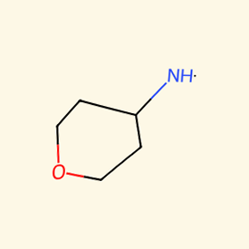 [NH]C1CCOCC1